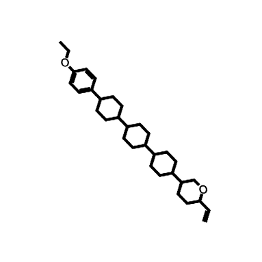 C=CC1CCC(C2CCC(C3CCC(C4CCC(c5ccc(OCC)cc5)CC4)CC3)CC2)CO1